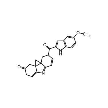 COc1ccc2[nH]c(C(=O)C3C=CC4=NC5=CCC(=O)CC56CC46C3)cc2c1